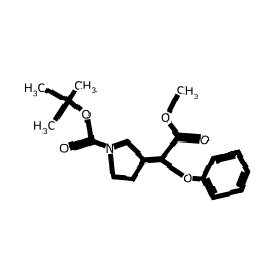 COC(=O)C(Oc1ccccc1)C1CCN(C(=O)OC(C)(C)C)C1